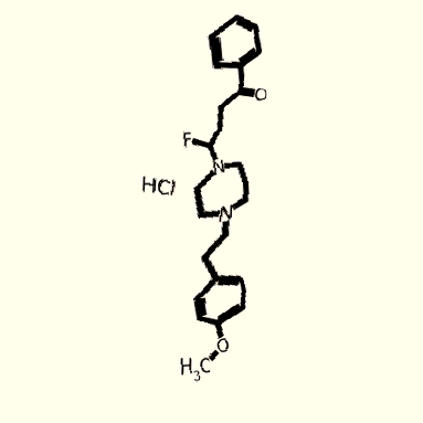 COc1ccc(CCN2CCN(C(F)CCC(=O)c3ccccc3)CC2)cc1.Cl